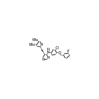 CC(C)(C)c1[c]nc(C#Cc2cncnc2Nc2ccc(OCc3cccc(F)c3)c(Cl)c2)cc1C(C)(C)C